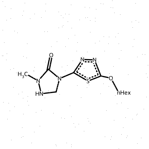 CCCCCCOc1nnc(N2CNN(C)C2=O)s1